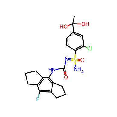 CC(O)(O)c1ccc(S(N)(=O)=NC(=O)Nc2c3c(c(F)c4c2CCC4)CCC3)c(Cl)c1